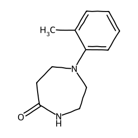 Cc1ccccc1N1CCNC(=O)CC1